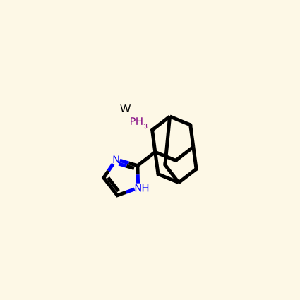 P.[W].c1c[nH]c(C23CC4CC(CC(C4)C2)C3)n1